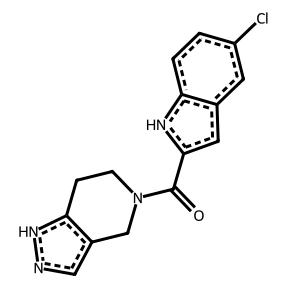 O=C(c1cc2cc(Cl)ccc2[nH]1)N1CCc2[nH]ncc2C1